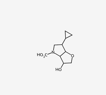 O=C(O)N1CC(C2CC2)C2OCC(O)C21